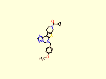 COc1ccc(CN2Cn3ncnc3-c3c2sc2c3CCN(C(=O)C3CC3)C2)cc1